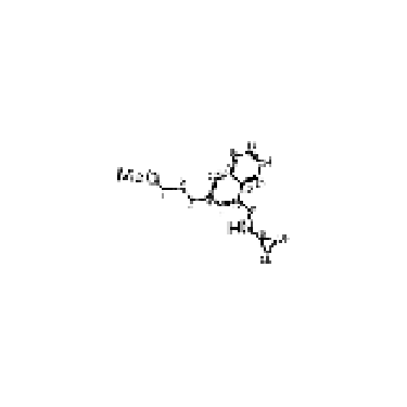 COCCCc1cc(CNC2CC2)c2ccccc2c1